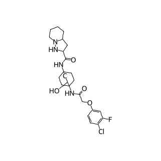 O=C(COc1ccc(Cl)c(F)c1)NC12CCC(NC(=O)C3CC4CCCCN4N3)(CC1)CC2O